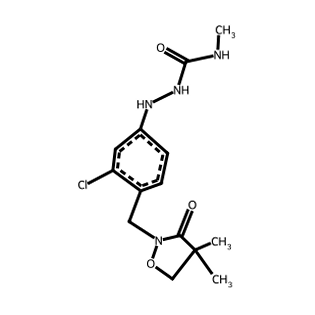 CNC(=O)NNc1ccc(CN2OCC(C)(C)C2=O)c(Cl)c1